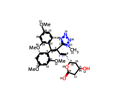 COc1ccc(C(=C(/C=C/[C@@H]2C[C@@H](O)CC(=O)O2)c2nnnn2C)c2ccc(OC)cc2OC)c(OC)c1